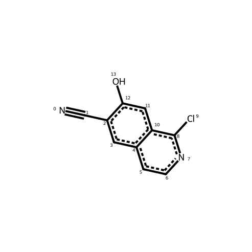 N#Cc1cc2ccnc(Cl)c2cc1O